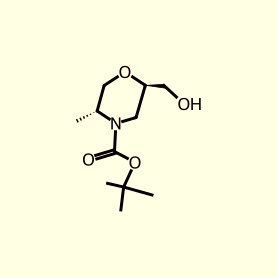 C[C@@H]1CO[C@@H](CO)CN1C(=O)OC(C)(C)C